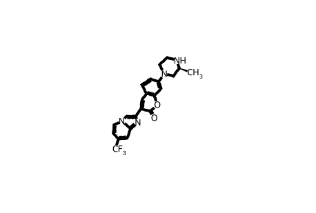 C[C@H]1CN(c2ccc3cc(-c4cn5ccc(C(F)(F)F)cc5n4)c(=O)oc3c2)CCN1